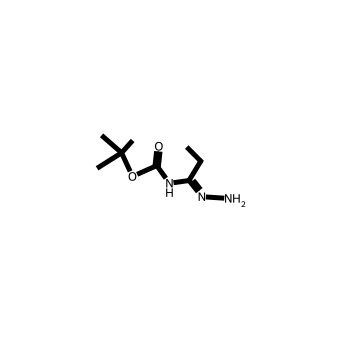 CC/C(=N\N)NC(=O)OC(C)(C)C